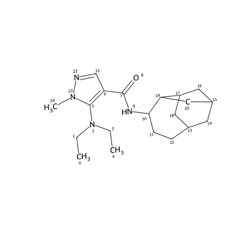 CCN(CC)c1c(C(=O)NC2CCC3CC4CC(C3)C2C4)cnn1C